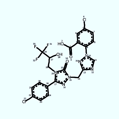 O=C(O)c1cc(Cl)ccc1-n1cnc(Cn2nc(-c3ccc(Cl)cc3)n(CC(O)C(F)(F)F)c2=O)n1